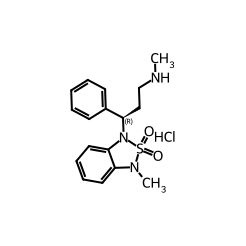 CNCC[C@H](c1ccccc1)N1c2ccccc2N(C)S1(=O)=O.Cl